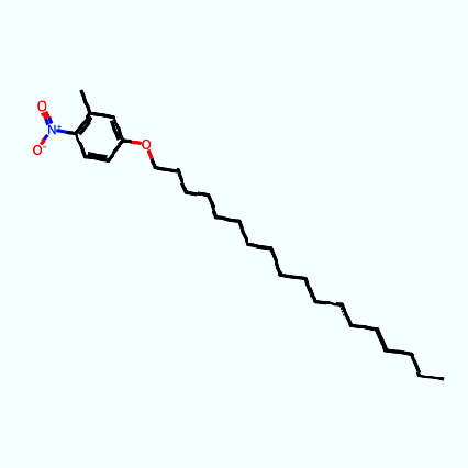 CCCCCCCCCCCCCCCCCCOc1ccc([N+](=O)[O-])c(C)c1